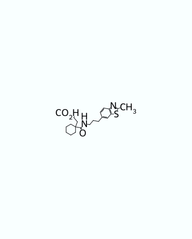 Cc1nc2ccc(CCCNC(=O)C3(CCC(=O)O)CCCCC3)cc2s1